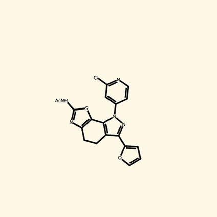 CC(=O)Nc1nc2c(s1)-c1c(c(-c3ccco3)nn1-c1ccnc(Cl)c1)CC2